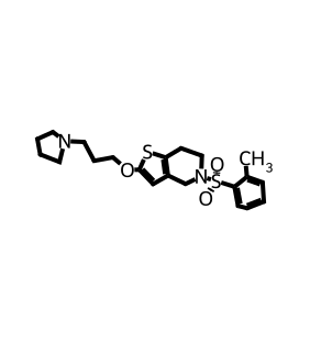 Cc1ccccc1S(=O)(=O)N1CCc2sc(OCCCN3CCCC3)cc2C1